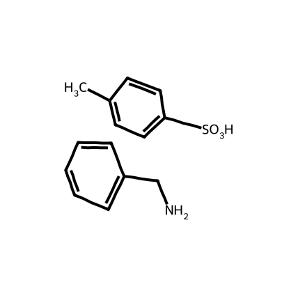 Cc1ccc(S(=O)(=O)O)cc1.NCc1ccccc1